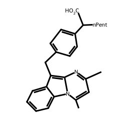 CCCCCC(C(=O)O)c1ccc(Cc2c3ccccc3n3c(C)cc(C)nc23)cc1